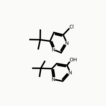 CC(C)(C)c1cc(Cl)ncn1.CC(C)(C)c1cc(O)ncn1